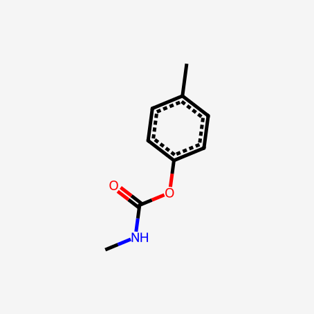 CNC(=O)Oc1ccc(C)cc1